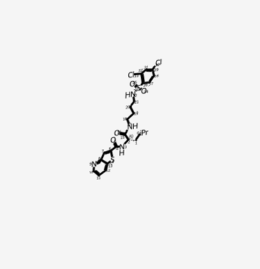 CC(C)C[C@H](NC(=O)c1cc2ncccc2s1)C(=O)NCCCCNS(=O)(=O)c1ccc(Cl)cc1Cl